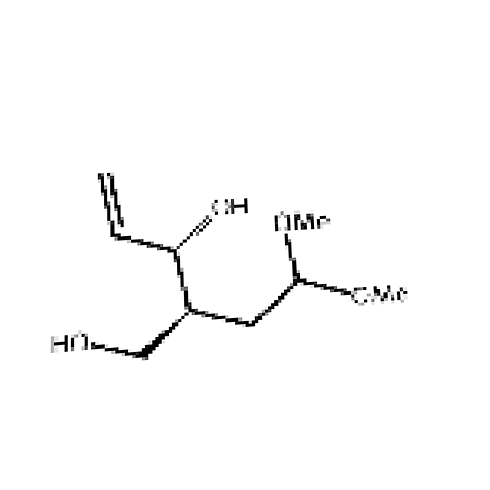 C=C[C@H](O)[C@H](CO)CC(OC)OC